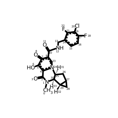 CN1C(=O)c2c(O)c(=O)c(C(=O)NCc3ccc(F)c(Cl)c3F)cn2[C@H]2CC3C[C@@H]3[C@H]21